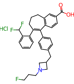 Cl.O=C(O)c1ccc2c(c1)CCCC(c1ccccc1C(F)F)=C2c1ccc(CC2CN(CCCF)C2)cc1